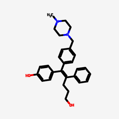 CN1CCN(Cc2ccc(C(=C(CCCO)c3ccccc3)c3ccc(O)cc3)cc2)CC1